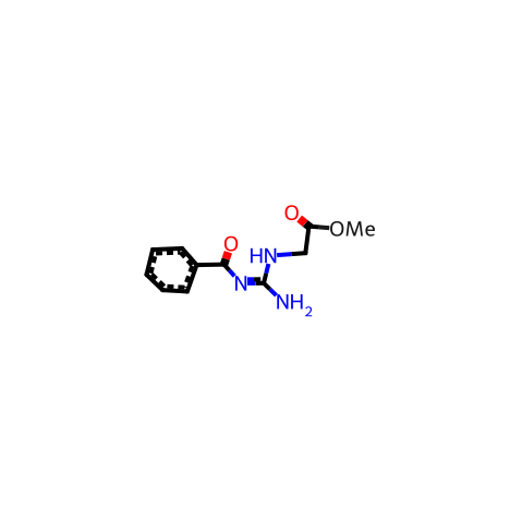 COC(=O)CNC(N)=NC(=O)c1ccccc1